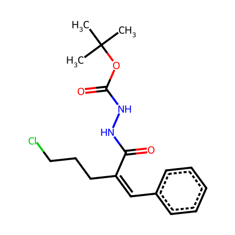 CC(C)(C)OC(=O)NNC(=O)C(=Cc1ccccc1)CCCCl